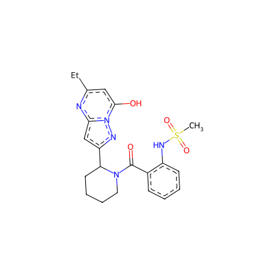 CCc1cc(O)n2nc(C3CCCCN3C(=O)c3ccccc3NS(C)(=O)=O)cc2n1